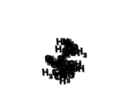 CC(C)c1[nH]nc(O[C@@H]2O[C@H](CO)[C@@H](O)[C@H](O)[C@H]2O)c1Cc1ccc(OCCCC(=O)NC(C)(C)C(=O)N2CCNCC2)cc1OC1CCOCC1